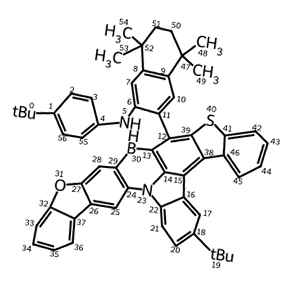 CC(C)(C)c1ccc(Nc2cc3c(cc2-c2c4c5c(c6cc(C(C)(C)C)ccc6n5-c5cc6c(cc5B4)oc4ccccc46)c4c2sc2ccccc24)C(C)(C)CCC3(C)C)cc1